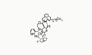 COCOc1cc(-c2nc3c4c(nc(OC[C@@]56CCCN5C[C@H](F)C6)nc4c2F)N([C@H](C)c2cccnc2N)CCO3)c2c(F)cccc2c1